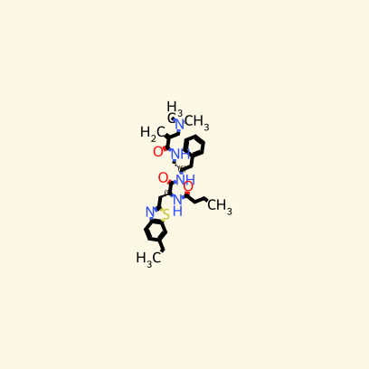 C=C(CN(C)C)C(=O)NC[C@H](Cc1ccccc1)NC(=O)[C@H](Cc1nc2ccc(CC)cc2s1)NC(=O)CCC